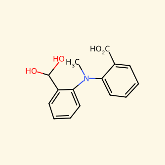 CN(c1ccccc1C(=O)O)c1ccccc1C(O)O